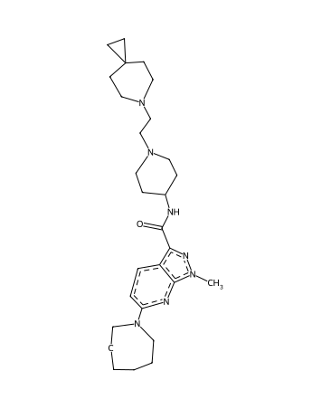 Cn1nc(C(=O)NC2CCN(CCN3CCC4(CC3)CC4)CC2)c2ccc(N3CCCCCC3)nc21